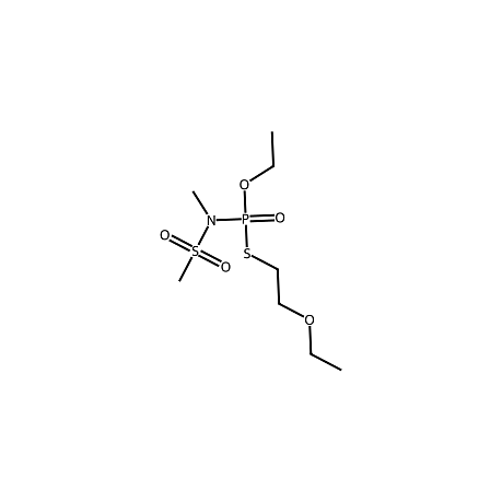 CCOCCSP(=O)(OCC)N(C)S(C)(=O)=O